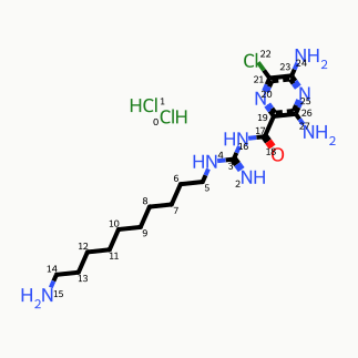 Cl.Cl.N=C(NCCCCCCCCCCN)NC(=O)c1nc(Cl)c(N)nc1N